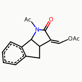 CC(=O)O/C=C1\C(=O)N(C(C)=O)C2c3ccccc3CC12